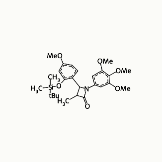 COc1ccc(C2C(C)C(=O)N2c2cc(OC)c(OC)c(OC)c2)c(O[Si](C)(C)C(C)(C)C)c1